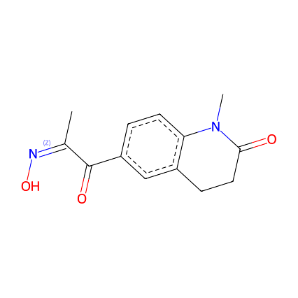 C/C(=N/O)C(=O)c1ccc2c(c1)CCC(=O)N2C